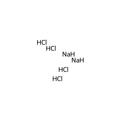 Cl.Cl.Cl.Cl.[NaH].[NaH]